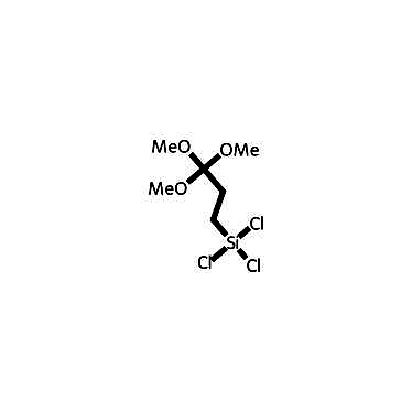 COC(CC[Si](Cl)(Cl)Cl)(OC)OC